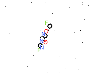 O=C1c2ccc(OCc3cccc(F)c3)nc2CCN1c1ccc(F)nc1